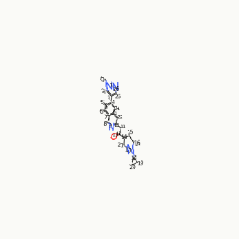 Cn1cc(-c2ccc3cnc(CC(=O)C4CCN(C5CC5)C4)cc3c2)cn1